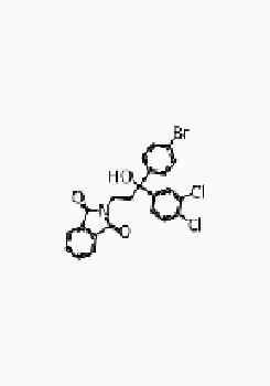 O=C1c2ccccc2C(=O)N1CCC(O)(c1ccc(Br)cc1)c1ccc(Cl)c(Cl)c1